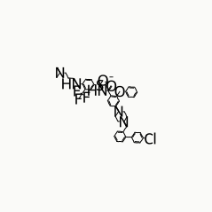 CN(C)CCCNc1ccc([S+]([O-])NC(=O)c2ccc(N3CCN(Cc4ccccc4-c4ccc(Cl)cc4)CC3)cc2Oc2ccccc2)cc1C(F)(F)F